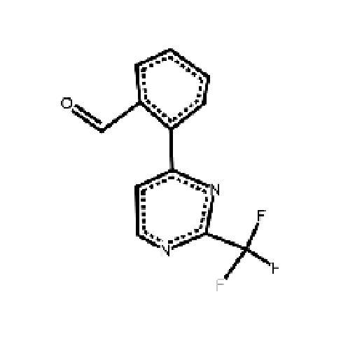 O=Cc1ccccc1-c1ccnc(C(F)(F)F)n1